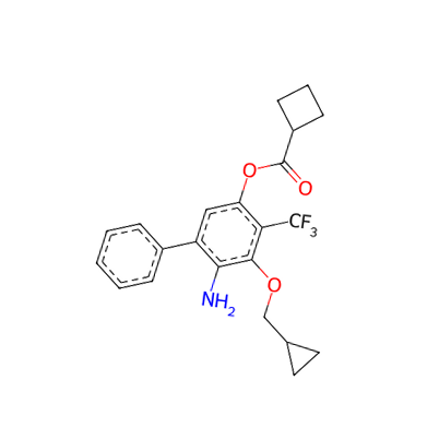 Nc1c(-c2ccccc2)cc(OC(=O)C2CCC2)c(C(F)(F)F)c1OCC1CC1